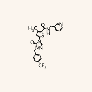 Cc1cc(-n2cnn(Cc3ccc(C(F)(F)F)cc3)c2=O)sc1C(=O)NCc1cccnc1